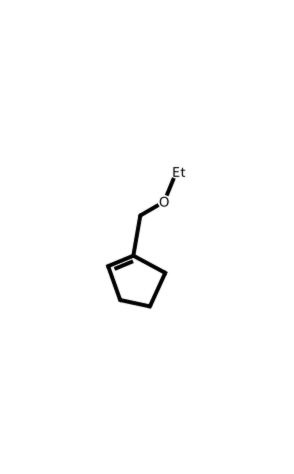 CCOCC1=CCCC1